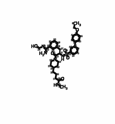 CCOc1ccc(-c2cccc(S(=O)(=O)N[C@H](Cc3cccc(/C(N)=N/CO)c3)C(=O)N3CCC(CCCC(=O)NC)CC3)c2)cc1